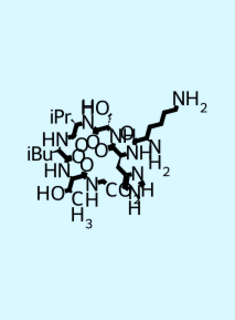 CC[C@H](C)[C@H](NC(=O)[C@@H](NC(=O)[C@H](CO)NC(=O)[C@H](Cc1c[nH]cn1)NC(=O)[C@@H](N)CCCCN)C(C)C)C(=O)N[C@H](C(=O)NCC(=O)O)[C@@H](C)O